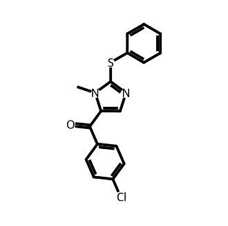 Cn1c(C(=O)c2ccc(Cl)cc2)cnc1Sc1ccccc1